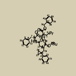 CC(C)C[C@@H](NC(=O)[C@@H](Cc1ccccc1)NC(=O)CN(CC1(c2ccccc2)CC1)C(=O)OC(C)(C)C)C(=O)OCc1ccccc1